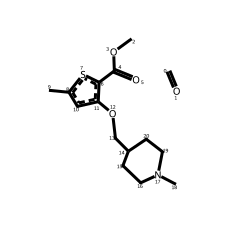 C=O.COC(=O)c1sc(C)cc1OCC1CCN(C)CC1